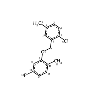 Cc1ccc(Cl)c(COc2cc(F)ccc2C)c1